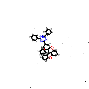 c1ccc(-c2nc(-c3ccccc3)nc(-c3ccc4c(c3)Oc3cccc5c3C4(c3ccccc3)c3ccccc3O5)n2)cc1